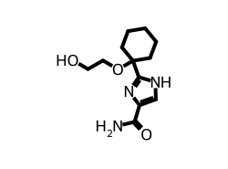 NC(=O)c1c[nH]c(C2(OCCO)CCCCC2)n1